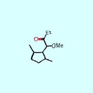 CCC(=O)C(OC)C1C(C)CCC1C